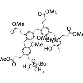 COC(=O)CCc1cc(Cc2cc(OC)c(Cc3cc(OC)c(Cc4cc(O)c(I)cc4CCC(=O)OC)cc3CCC(=O)OC)cc2CCC(=O)OC)c(OC)cc1CO[Si](C)(C)C(C)(C)C